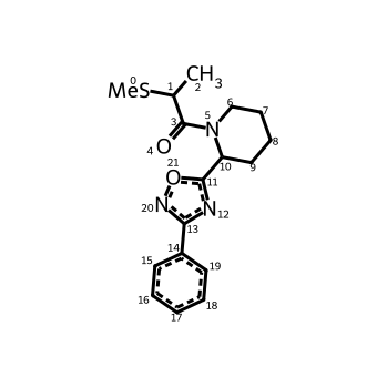 CSC(C)C(=O)N1CCCCC1c1nc(-c2ccccc2)no1